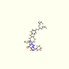 CCCC(CC)CCc1ccc(CC2CCCC(c3nn4c(C5CCOCC5)ncc4c(=O)[nH]3)C(C)C2)cc1